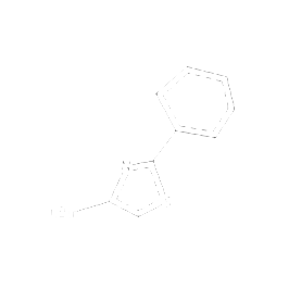 [CH2]CCCc1csc(-c2ccccc2)n1